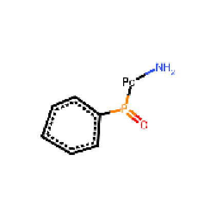 [NH2][Po][P](=O)c1ccccc1